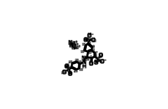 O=C1C(S(=O)(=O)[O-])=Cc2cc(S(=O)(=O)[O-])ccc2/C1=N/Nc1ccc(S(=O)(=O)[O-])cc1.[Na+].[Na+].[Na+]